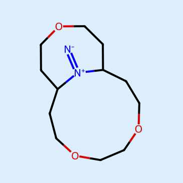 [N-]=[N+]1C2CCOCCOCCC1CCOCC2